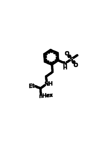 CCCCCCC(CC)NCCc1ccccc1NS(C)(=O)=O